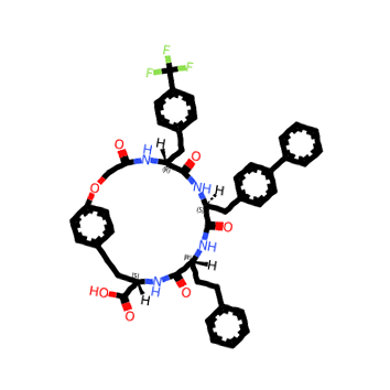 O=C1COc2ccc(cc2)C[C@@H](C(=O)O)NC(=O)[C@@H](CCc2ccccc2)NC(=O)[C@H](Cc2ccc(-c3ccccc3)cc2)NC(=O)[C@@H](Cc2ccc(C(F)(F)F)cc2)N1